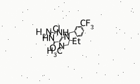 CCC1CN(C)C2=C(N[C@@](N)(Cl)NC2=O)N1Cc1cccc(C(F)(F)F)c1